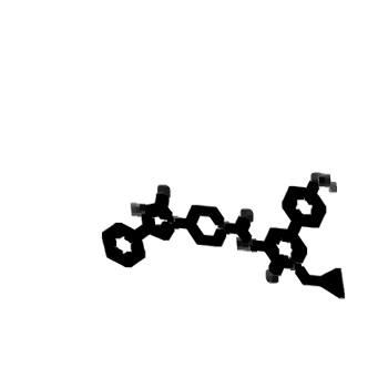 Cc1ccc(-c2cc(NC(=O)N3CCC(n4cc(-c5ccccc5)[nH]c4=O)CC3)c(=O)n(CC3CC3)c2)cc1